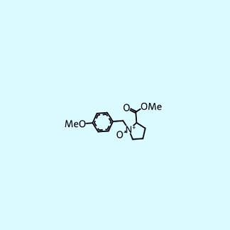 COC(=O)C1CCC[N+]1([O-])Cc1ccc(OC)cc1